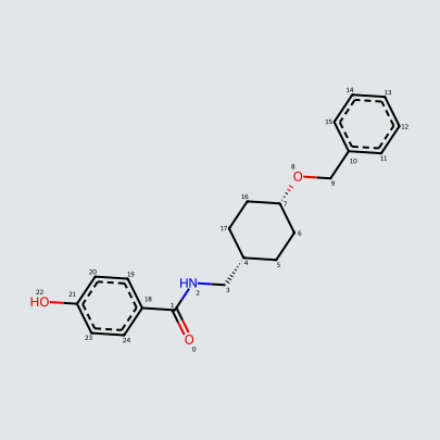 O=C(NC[C@H]1CC[C@@H](OCc2ccccc2)CC1)c1ccc(O)cc1